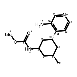 C[C@H]1C[C@@H](NC(=O)OC(C)(C)C)C[C@H](c2ccncc2N)C1